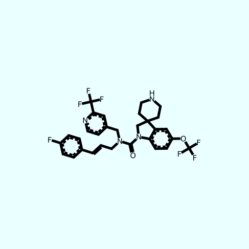 O=C(N(CC=Cc1ccc(F)cc1)Cc1ccnc(C(F)(F)F)c1)N1CC2(CCNCC2)c2cc(OC(F)(F)F)ccc21